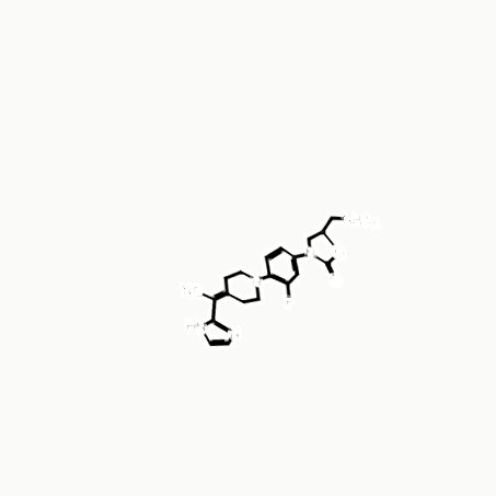 CC(=O)NCC1CN(c2ccc(N3CCC(=C(C#N)c4ncc[nH]4)CC3)c(F)c2)C(=O)O1